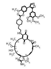 COc1ccc(-c2cnoc2-c2cc(OC)c(OC)c(OC)c2)cc1OC(=O)N1CCN(CCNC2=C3C[C@@H](C)C[C@H](OC)[C@@H](O)[C@@H](C)C=C(C)[C@H](OC(N)=O)[C@@H](OC)C=CC=C(C)C(=O)NC(=CC2=O)C3=O)CC1